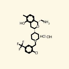 Cc1ccc2c(c1O)C[C@@H](C1CCN(Cc3cc(C(F)(F)F)ccc3Cl)CC1)O[C@H]2CN.Cl.Cl